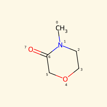 CN1CCOCC1=O